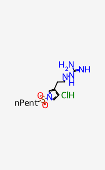 CCCCCS(=O)(=O)n1ccc(CC=NNC(=N)N)c1.Cl